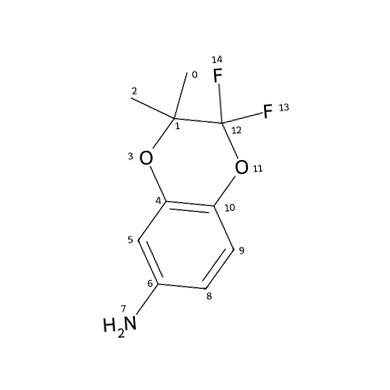 CC1(C)Oc2cc(N)ccc2OC1(F)F